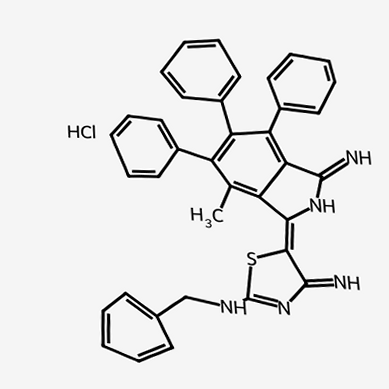 Cc1c2c(c(-c3ccccc3)c(-c3ccccc3)c1-c1ccccc1)C(=N)N/C2=C1/SC(NCc2ccccc2)=NC1=N.Cl